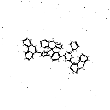 c1ccc(-c2nc(-c3ccc4c(c3)C3(c5ccccc5Oc5ccccc53)c3cc(-c5cc6ccccc6c6ccccc56)ccc3-4)nc(-c3cccc4oc5ccccc5c34)n2)cc1